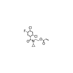 C=CC(=O)OCCN(C(=O)c1cc(F)c(Cl)cc1Cl)C1CC1